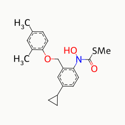 CSC(=O)N(O)c1ccc(C2CC2)cc1COc1ccc(C)cc1C